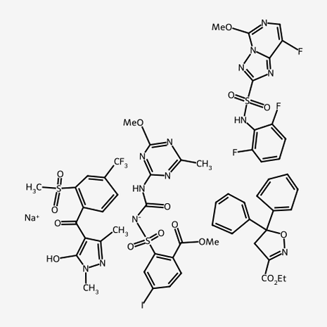 CCOC(=O)C1=NOC(c2ccccc2)(c2ccccc2)C1.COC(=O)c1ccc(I)cc1S(=O)(=O)[N-]C(=O)Nc1nc(C)nc(OC)n1.COc1ncc(F)c2nc(S(=O)(=O)Nc3c(F)cccc3F)nn12.Cc1nn(C)c(O)c1C(=O)c1ccc(C(F)(F)F)cc1S(C)(=O)=O.[Na+]